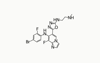 CNCCNc1nnc(-c2cn3ccnc3c(F)c2Nc2ccc(Br)cc2F)o1